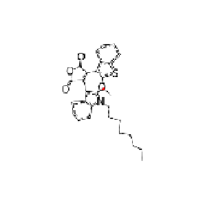 CCCCCCCCn1c(C)c(C2=C(c3c(OC)sc4ccccc34)C(=O)OC2=O)c2ccccc21